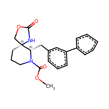 COC(=O)N1CCC[C@@]2(COC(=O)N2)[C@@H]1Cc1cccc(-c2ccccc2)c1